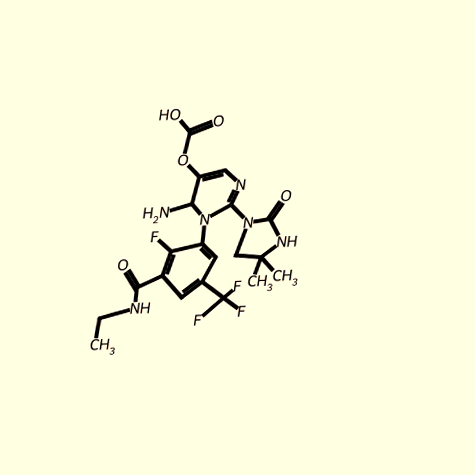 CCNC(=O)c1cc(C(F)(F)F)cc(N2C(N3CC(C)(C)NC3=O)=NC=C(OC(=O)O)C2N)c1F